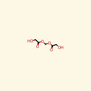 O=C(CO)O[C]OC(=O)CO